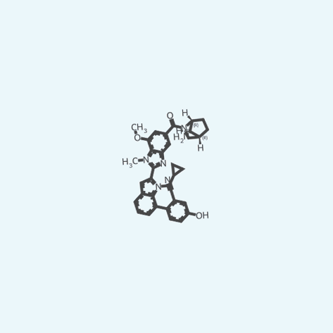 COc1cc(C(=O)N2C[C@H]3CC[C@@H]2[C@@H]3N)cc2nc(-c3cc4cccc(-c5ccc(O)cc5C#N)c4n3CC3CC3)n(C)c12